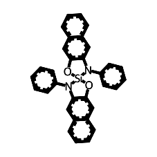 c1ccc(N2c3cc4ccccc4cc3O[Si]23Oc2cc4ccccc4cc2N3c2ccccc2)cc1